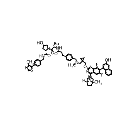 Cc1ncsc1-c1ccc(CNC(=O)[C@@H]2C[C@@H](O)CN2C(=O)[C@@H](NC(=O)CCc2ccc(CN(C)CC3(COc4nc(N5C[C@H]6CC[C@@](C)(C5)N6)c5cc(F)c(-c6cc(O)cc7ccccc67)c(F)c5n4)CC3)cc2)C(C)(C)C)cc1